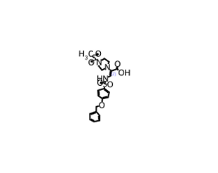 CS(=O)(=O)N1CCN(/C(=C\NS(=O)(=O)c2ccc(OCc3ccccc3)cc2)C(=O)O)CC1